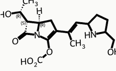 CC(=CC1CCC(CO)N1)C1=C(OC(=O)O)N2C(=O)[C@H]([C@@H](C)O)[C@H]2C1